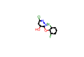 Oc1cc(Cl)nnc1Oc1c(F)cccc1Br